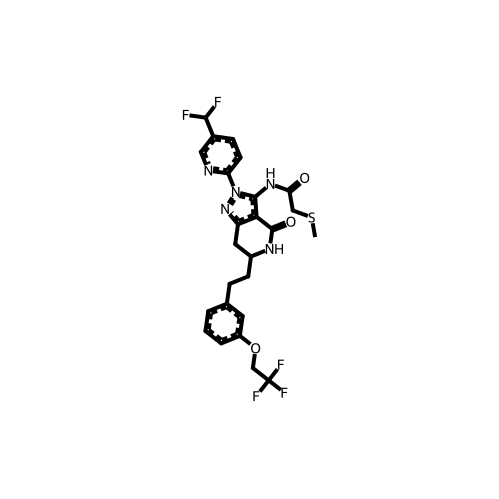 CSCC(=O)Nc1c2c(nn1-c1ccc(C(F)F)cn1)CC(CCc1cccc(OCC(F)(F)F)c1)NC2=O